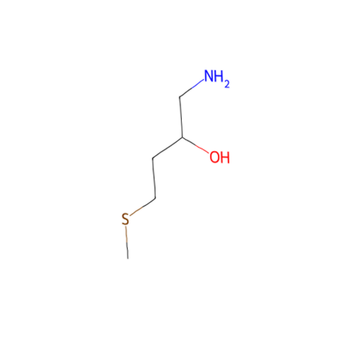 CSCCC(O)CN